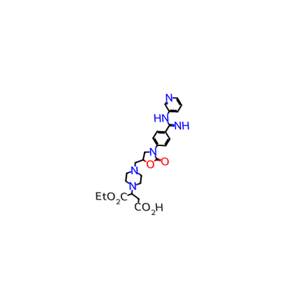 CCOC(=O)C(CC(=O)O)N1CCN(CC2CN(c3ccc(C(=N)Nc4cccnc4)cc3)C(=O)O2)CC1